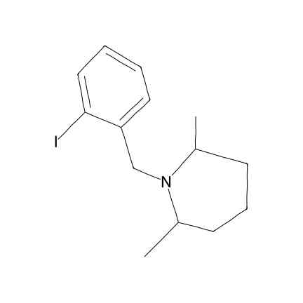 CC1CCCC(C)N1Cc1ccccc1I